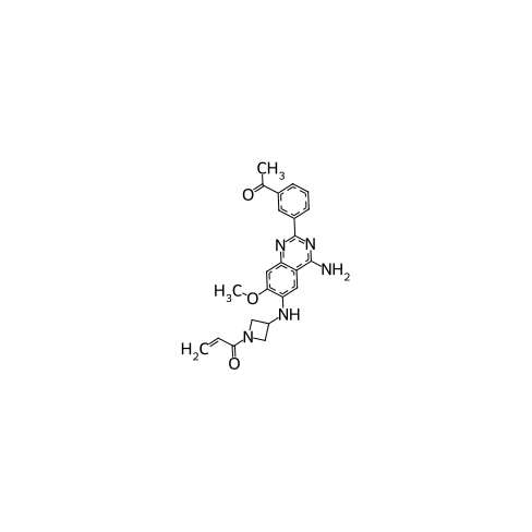 C=CC(=O)N1CC(Nc2cc3c(N)nc(-c4cccc(C(C)=O)c4)nc3cc2OC)C1